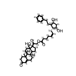 CC12CCC(=O)C=C1CC[C@@H]1C2=CCC2(C)[C@H]1CC[C@]2(O)C(=O)COC(=O)CCC/C=C\C[C@@H]1C(CCc2ccccc2)[C@H](O)C[C@@H]1O